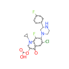 O=C(O)Oc1cn(C2CC2)c2c(F)c(N3CCNC(c4ccc(F)cc4)C3)c(Cl)cc2c1=O